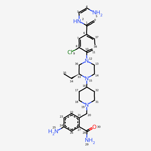 C=C(N/C=C\N)C(/C=C(/Cl)C(=C)N1CCN(C2CCN(Cc3ccc(N)cc3C(N)=O)CC2)[C@@H](CC)C1)=C/C